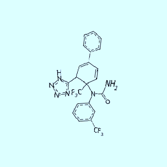 NC(=O)N(c1cccc(C(F)(F)F)c1)C1(C(F)(F)F)C=CC(c2ccccc2)=CC1c1nnn[nH]1